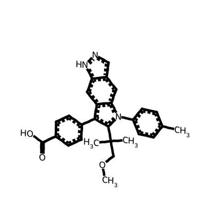 COCC(C)(C)c1c(-c2ccc(C(=O)O)cc2)c2cc3[nH]ncc3cc2n1-c1ccc(C)cc1